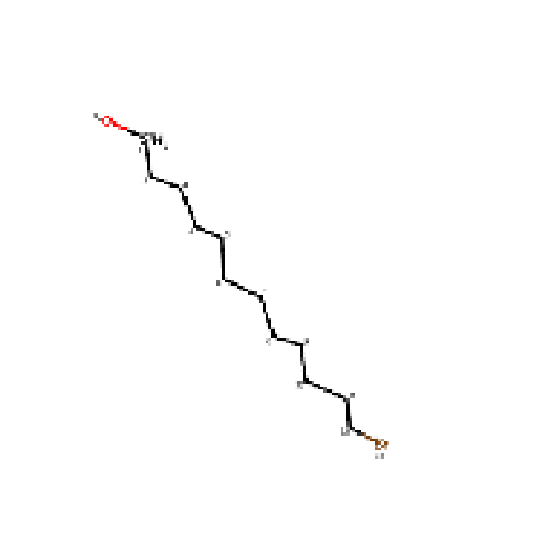 [O][SiH2]CCCCCCCCCCCBr